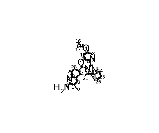 Cc1cc2cc(C(=O)N(Cc3ccc(OC4CC4)cn3)C(C)c3ncccn3)ccc2nc1N